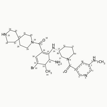 CNc1cncc(C(=O)N2CCC[C@@H](NC3=C(C(=O)N4CCC5(CCNCC5)CC4)C=C(Br)C(C)C3N)C2)c1